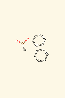 O=S(=O)=[Se].c1ccccc1.c1ccccc1